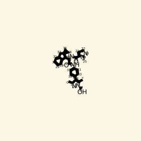 Cc1nn(CO)c(C)c1-c1ccc(NC(=O)[C@@H](NC(=O)c2ccnn2C)C2c3ccccc3CC23CC3)cc1